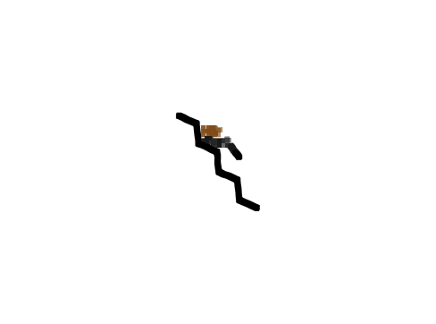 Br.CCCCCC.CCCCCCCC